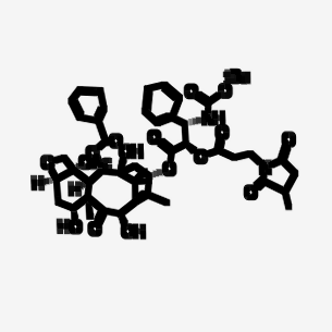 CC(=O)O[C@@]12CO[C@@H]1C[C@H](O)[C@@]1(C)C(=O)[C@H](O)C3=C(C)[C@@H](OC(=O)[C@H](OC(=O)CCN4C(=O)CC(C)C4=O)[C@@H](NC(=O)OC(C)(C)C)c4ccccc4)C[C@@](O)([C@@H](OC(=O)c4ccccc4)[C@H]21)C3(C)C